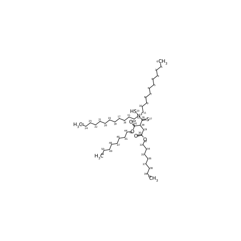 CCCCCCCCCCCC[N+](S)(CCCCCCCCCCCC)C(=S)C(CC(=O)OCCCCCCCC)C(=O)OCCCCCCCC